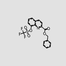 O=C(OCc1ccccc1)c1ccc2cccc(OS(=O)(=O)C(F)(F)F)c2n1